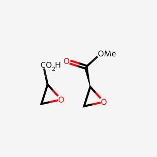 COC(=O)[C@@H]1CO1.O=C(O)C1CO1